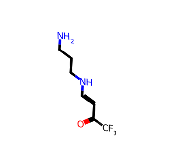 NCCCNC=CC(=O)C(F)(F)F